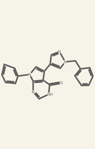 O=c1[nH]cnc2c1c(-c1cnn(Cc3ccccc3)c1)cn2-c1ccccc1